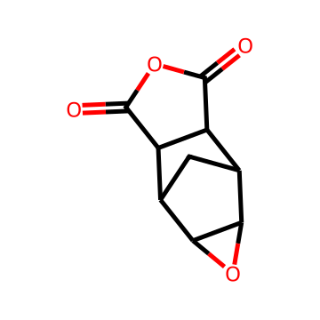 O=C1OC(=O)C2C3CC(C4OC34)C12